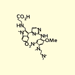 COc1cc(N(C)CCN(C)C)c([N+](=O)[O-])cc1Nc1nccc(-c2c(CNCCC(=O)O)n(C)c3ccccc23)n1